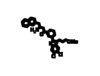 COCCCn1c(C2CCCN(C(=O)CC(N)Cc3ccc4ccccc4c3)C2)nc2cc(Cl)c(Cl)cc21